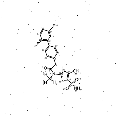 [2H]C([2H])([2H])N(C(=O)Cc1ccc(-c2cc(F)ccc2F)cc1)c1nc(C)c(S(N)(=O)=O)s1